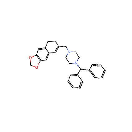 C1=C(CN2CCN(C(c3ccccc3)c3ccccc3)CC2)CCc2cc3c(cc21)OCO3